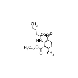 CCCCC(=O)Nc1c([N+](=O)[O-])ccc(C)c1C(=O)OCC